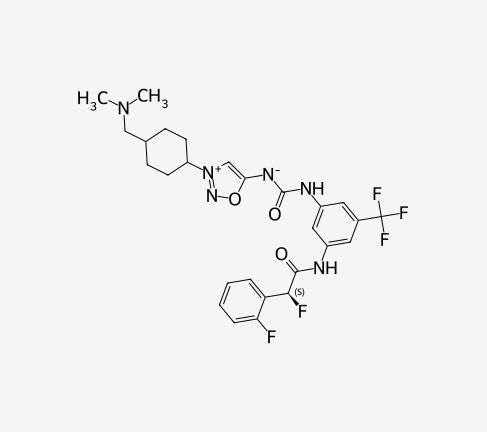 CN(C)CC1CCC([n+]2cc([N-]C(=O)Nc3cc(NC(=O)[C@@H](F)c4ccccc4F)cc(C(F)(F)F)c3)on2)CC1